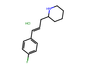 Cl.Fc1ccc(C=CCC2CCCCN2)cc1